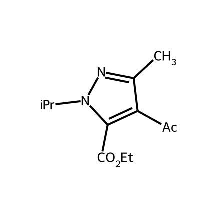 CCOC(=O)c1c(C(C)=O)c(C)nn1C(C)C